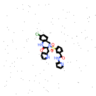 O=C(Nc1ccccn1)c1cccc(S(=O)(=O)N2Cc3ccc(Cl)cc3NC(=O)C2Cc2ccccn2)c1